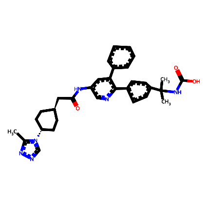 Cc1nncn1[C@H]1CC[C@H](CC(=O)Nc2cnc(-c3ccc(C(C)(C)NC(=O)O)cc3)c(-c3ccccc3)c2)CC1